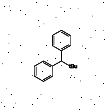 CC(C)(C)C(c1ccccc1)c1ccccc1